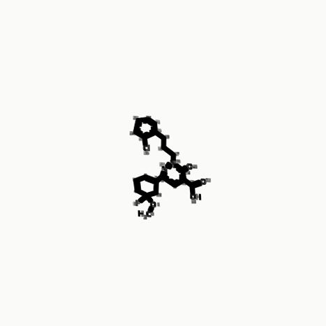 COC1(F)C=CC=C(c2cc(C(=O)O)c(=O)n(CCCc3ccccc3Cl)n2)C1